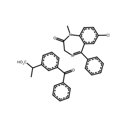 CC(C(=O)O)c1cccc(C(=O)c2ccccc2)c1.CN1C(=O)CN=C(c2ccccc2)c2cc(Cl)ccc21